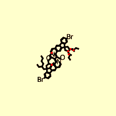 CCCCC(CC)CC1(CC(CC)CCCC)c2cc(Br)ccc2-c2cc3c(cc21)C1=C2C(=O)N4C=Cc5cc6c(cc5C4=C2C(=O)N1C=C3)C(CC(CC)CCCC)(CC(CC)CCCC)c1cc(Br)ccc1-6